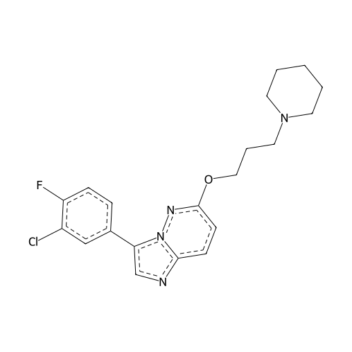 Fc1ccc(-c2cnc3ccc(OCCCN4CCCCC4)nn23)cc1Cl